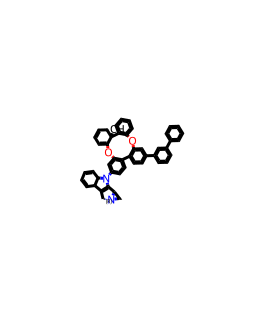 CC12CC=CC=C1Oc1cc(N3C4=C(C[N@@]5CC45)C4C=CC=CC43)ccc1-c1ccc(-c3cccc(-c4ccccc4)c3)cc1Oc1ccccc12